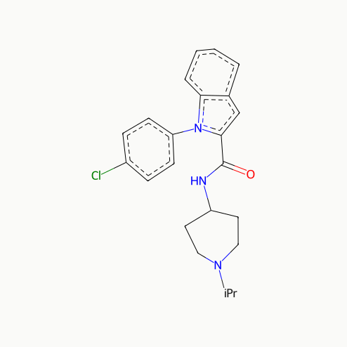 CC(C)N1CCC(NC(=O)c2cc3ccccc3n2-c2ccc(Cl)cc2)CC1